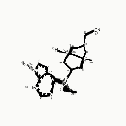 CN(c1ncnc2[nH]ccc12)C1C[C@@H]2CN(CC#N)C[C@]2(C)C1